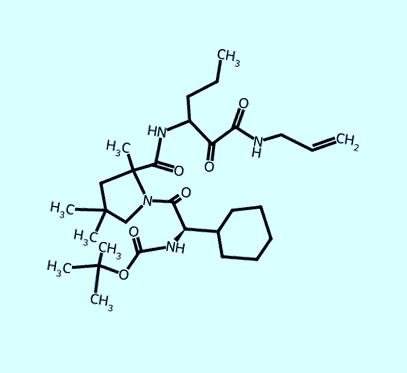 C=CCNC(=O)C(=O)C(CCC)NC(=O)C1(C)CC(C)(C)CN1C(=O)[C@H](NC(=O)OC(C)(C)C)C1CCCCC1